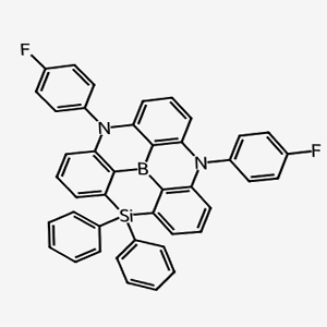 Fc1ccc(N2c3cccc4c3B3c5c2cccc5[Si](c2ccccc2)(c2ccccc2)c2cccc(c23)N4c2ccc(F)cc2)cc1